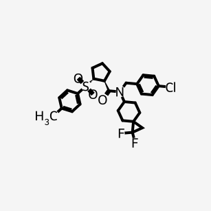 Cc1ccc(S(=O)(=O)[C@@H]2CCC[C@H]2C(=O)N(Cc2ccc(Cl)cc2)C2CCC3(CC2)CC3(F)F)cc1